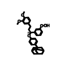 COc1ccc(CC[C@H](Oc2ccc(C34CC5CC(CC(C5)C3)C4)cc2)c2cccc(OO)c2)cc1OC